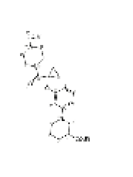 CCOC(=O)C1CCCN(c2cccc(OC3(C(=O)N4CCN(C(=O)O)CC4)CC3)c2)C1